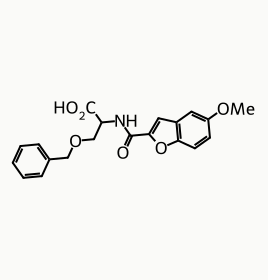 COc1ccc2oc(C(=O)NC(COCc3ccccc3)C(=O)O)cc2c1